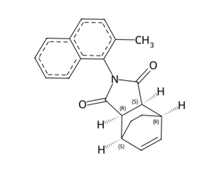 Cc1ccc2ccccc2c1N1C(=O)[C@@H]2[C@H](C1=O)[C@@H]1C=C[C@H]2CC1